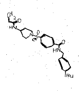 C=CC(=O)NC1CCN(S(=O)(=O)c2ccc(C(=O)NCc3ccc(C(C)(C)C)cc3)cc2)CC1